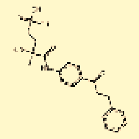 C[C@](N)(COP(=O)(O)O)C(=O)Nc1ccc(C(=O)CCc2ccccc2)cc1